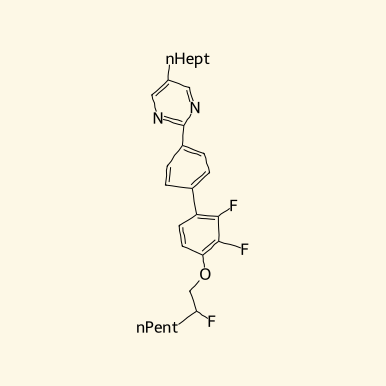 CCCCCCCc1cnc(-c2ccc(-c3ccc(OCC(F)CCCCC)c(F)c3F)cc2)nc1